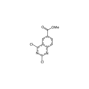 COC(=O)c1ccc2nc(Cl)nc(Cl)c2c1